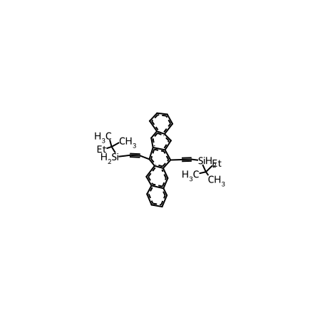 CCC(C)(C)[SiH2]C#Cc1c2cc3ccccc3cc2c(C#C[SiH2]C(C)(C)CC)c2cc3ccccc3cc12